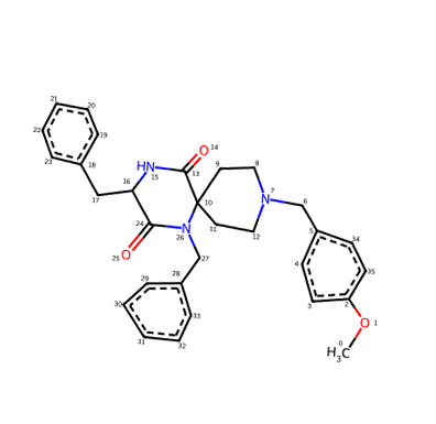 COc1ccc(CN2CCC3(CC2)C(=O)NC(Cc2ccccc2)C(=O)N3Cc2ccccc2)cc1